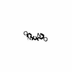 COc1ccc(C(C)(C)CC(C)(C)c2cc(OC)ccn2)nc1